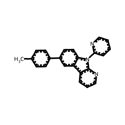 Cc1ccc(-c2ccc3c(c2)c2cccnc2n3-c2ccccn2)cc1